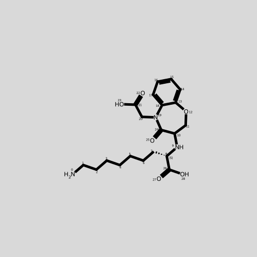 NCCCCCCC[C@H](NC1COc2ccccc2N(CC(=O)O)C1=O)C(=O)O